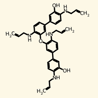 C=CCNc1ccc(-c2ccc(NCC=C)c(Oc3cc(-c4ccc(NCC=C)c(O)c4)ccc3NCC=C)c2)cc1O